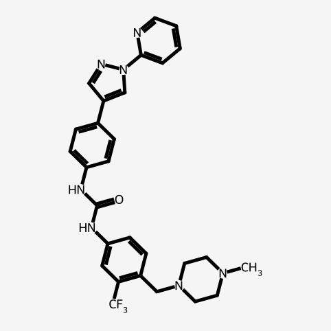 CN1CCN(Cc2ccc(NC(=O)Nc3ccc(-c4cnn(-c5ccccn5)c4)cc3)cc2C(F)(F)F)CC1